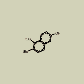 CC(C)(C)c1ccc2cc(O)ccc2c1C(C)(C)C